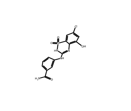 NC(=O)c1cccc(NC2=Nc3c(O)cc(Cl)cc3S(=O)(=O)N2)c1